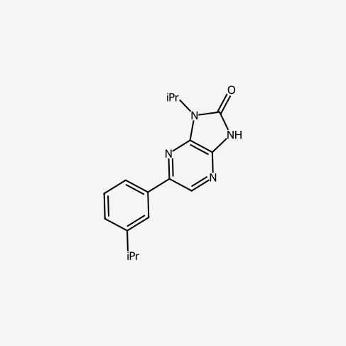 CC(C)c1cccc(-c2cnc3[nH]c(=O)n(C(C)C)c3n2)c1